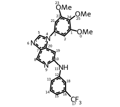 COc1cc(-n2cnc3cnc(Nc4cccc(C(F)(F)F)c4)cc32)cc(OC)c1OC